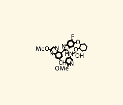 COc1ccc(NC(O)O[C@@H]2CCCC[C@H]2Oc2cc3sc(-c4cc(C)cc5nc(OC)cnc45)nc3cc2F)cn1